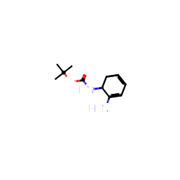 CC(C)(C)OC(=O)NC1CC=CC=C1N